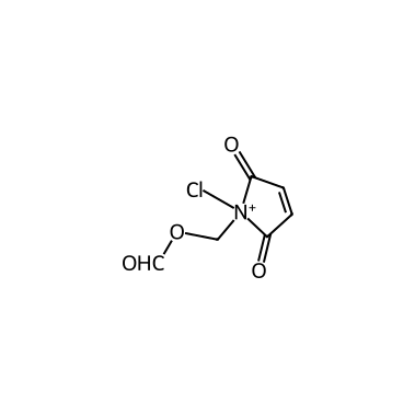 O=COC[N+]1(Cl)C(=O)C=CC1=O